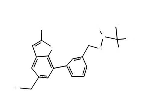 CC(C)(C)[S+]([O-])NCc1cccc(-c2cc(CO)cc3cc(F)oc23)c1